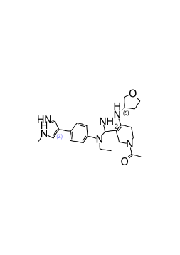 CCN(c1ccc(/C(C=N)=C/NC)cc1)C(N)C1=C(N[C@H]2CCOC2)CCN(C(C)=O)C1